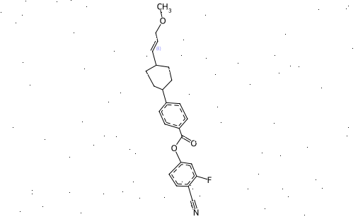 COC/C=C/C1CCC(c2ccc(C(=O)Oc3ccc(C#N)c(F)c3)cc2)CC1